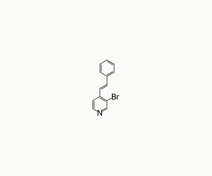 Brc1cnccc1C=Cc1ccccc1